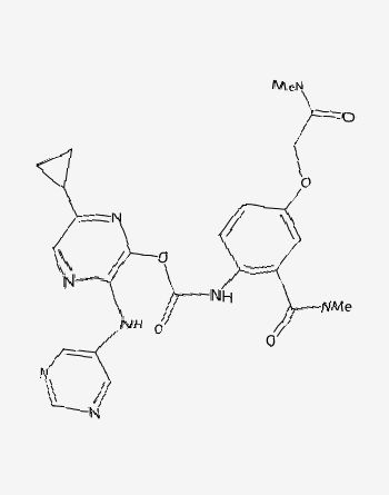 CNC(=O)COc1ccc(NC(=O)Oc2nc(C3CC3)cnc2Nc2cncnc2)c(C(=O)NC)c1